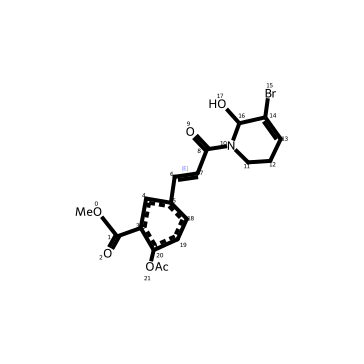 COC(=O)c1cc(/C=C/C(=O)N2CCC=C(Br)C2O)ccc1OC(C)=O